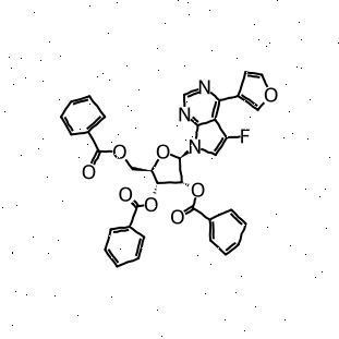 O=C(OC[C@H]1O[C@@H](n2cc(F)c3c(-c4ccoc4)ncnc32)[C@H](OC(=O)c2ccccc2)[C@@H]1OC(=O)c1ccccc1)c1ccccc1